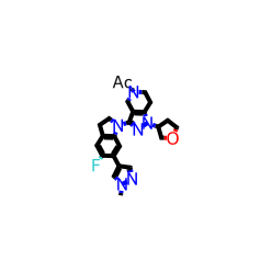 CC(=O)N1CCc2c(c(N3CCc4cc(F)c(-c5cnn(C)c5)cc43)nn2C2CCOC2)C1